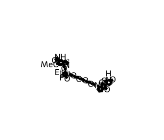 CC[C@@H]1[C@H](F)C(=O)N(CCOCCOCCOCCOCCNc2cccc3c2C(=O)N(C2CCC(=O)NC2=O)C3=O)[C@@H]1COc1nccc2cc(C(N)=O)c(OC)cc12